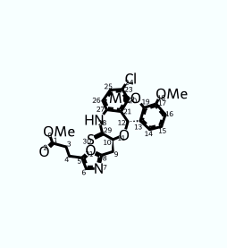 COC(=O)CCc1cnc(C[C@@H]2O[C@@H](c3cccc(OC)c3OC)c3cc(Cl)ccc3NC2=S)o1